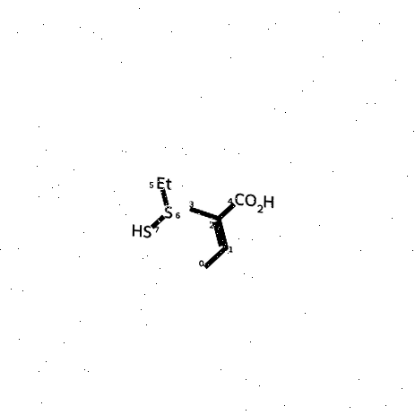 CC=C(C)C(=O)O.CCSS